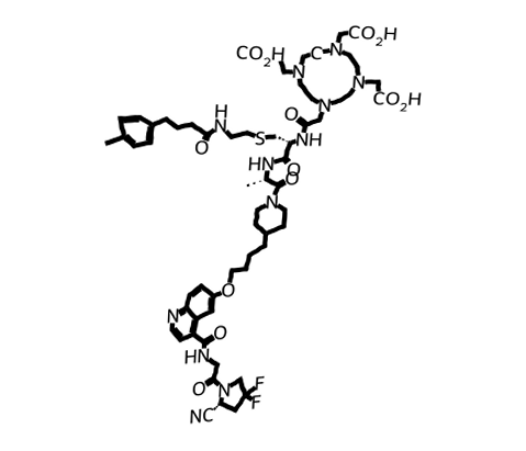 Cc1ccc(CCCC(=O)NCCSC[C@H](NC(=O)CN2CCN(CC(=O)O)CCN(CC(=O)O)CCN(CC(=O)O)CC2)C(=O)N[C@@H](C)C(=O)N2CCC(CCCCOc3ccc4nccc(C(=O)NCC(=O)N5CC(F)(F)C[C@@H]5C#N)c4c3)CC2)cc1